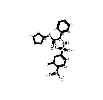 CC1CC(S(=O)(=O)N[C@H](C(=O)OC2CCCC2)c2ccccc2)=CC=C1[N+](=O)[O-]